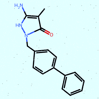 Cc1c(N)[nH]n(Cc2ccc(-c3ccccc3)cc2)c1=O